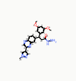 COc1cc(OC)cc(C(CC(=O)NN)c2ccc3ncc(-c4cnn(C)c4)nc3c2)c1